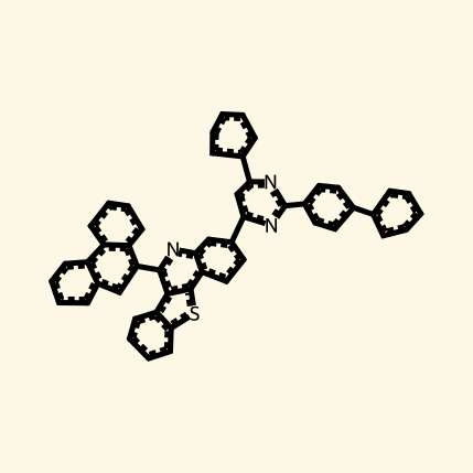 c1ccc(-c2ccc(-c3nc(-c4ccccc4)cc(-c4ccc5c(c4)nc(-c4cc6ccccc6c6ccccc46)c4c6ccccc6sc54)n3)cc2)cc1